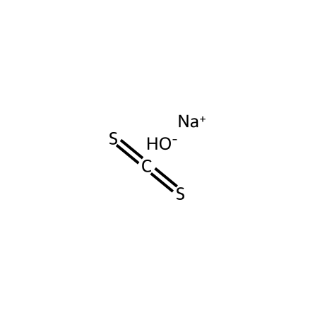 S=C=S.[Na+].[OH-]